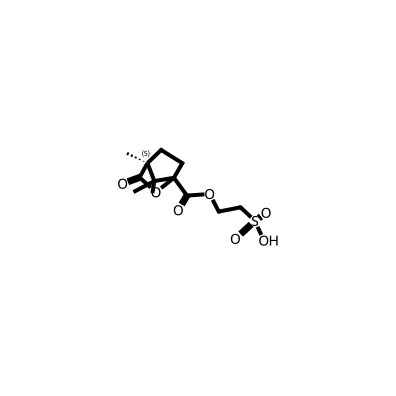 CC1(C)C2(C(=O)OCCS(=O)(=O)O)CC[C@]1(C)C(=O)O2